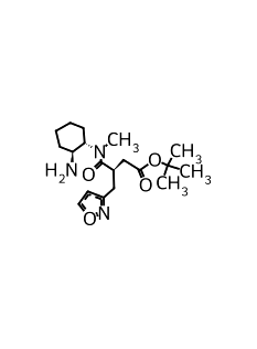 CN(C(=O)[C@@H](CC(=O)OC(C)(C)C)Cc1ccon1)[C@H]1CCCC[C@@H]1N